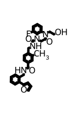 Cc1cc(C(=O)NCc2ccccc2-c2ccco2)ccc1CNC(=O)N1CC(=O)N(CCO)c2cccc(F)c21